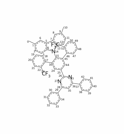 Cc1ccc2c(c1)c1cc(C)ccc1n2-c1c(-c2ccccc2C(F)(F)F)cc(-c2nc(-c3ccccc3)cc(-c3ccccc3)n2)cc1-c1ccccc1C(F)(F)F